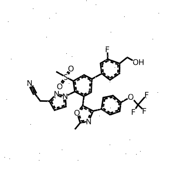 Cc1nc(-c2ccc(OC(F)(F)F)cc2)c(-c2cc(-c3ccc(CO)c(F)c3)cc(S(C)(=O)=O)c2-n2ccc(CC#N)n2)o1